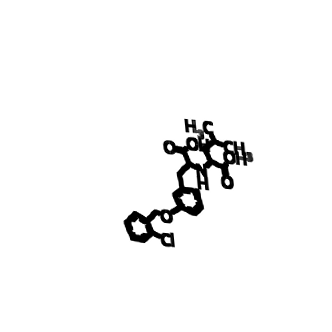 CC(C)CC(NC(Cc1cccc(OCc2ccccc2Cl)c1)C(=O)O)C(=O)O